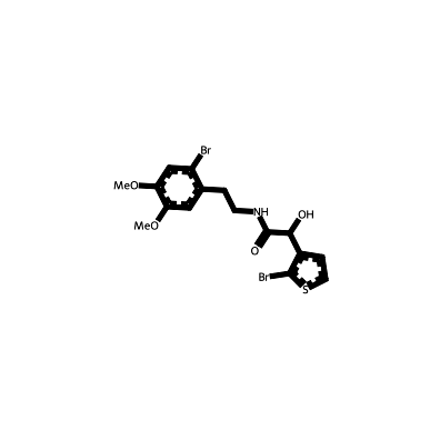 COc1cc(Br)c(CCNC(=O)C(O)c2ccsc2Br)cc1OC